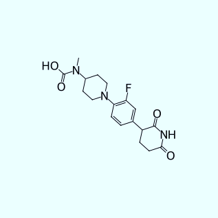 CN(C(=O)O)C1CCN(c2ccc(C3CCC(=O)NC3=O)cc2F)CC1